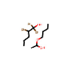 CCCC(Br)C(O)(Br)Br.CCCCOC(C)O